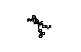 CC(C)Oc1ccccc1N1CCN(C(=O)CCCc2ccc(C(=O)N3CCCCC3)cc2)CC1.O=C(O)/C=C/C(=O)O